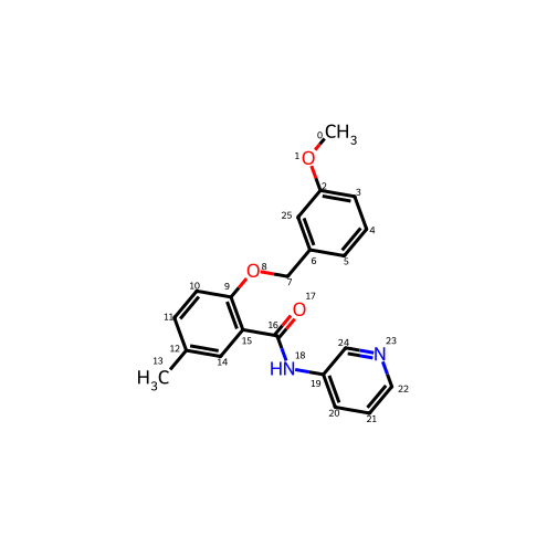 COc1cccc(COc2ccc(C)cc2C(=O)Nc2cccnc2)c1